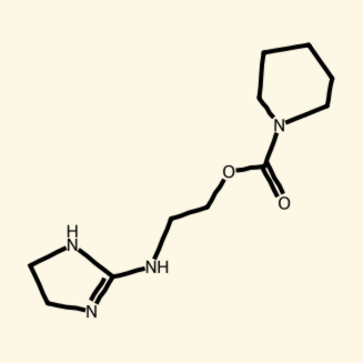 O=C(OCCNC1=NCCN1)N1CCCCC1